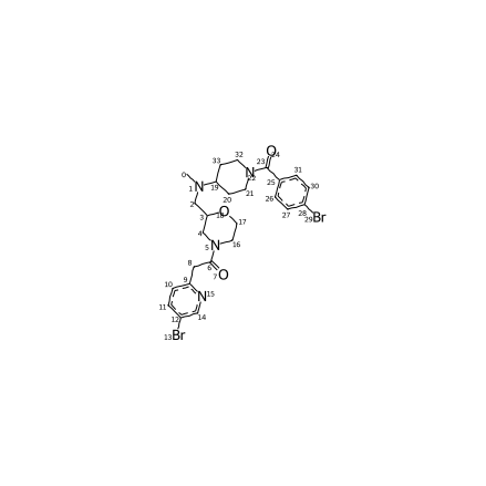 CN(CC1CN(C(=O)Cc2ccc(Br)cn2)CCO1)C1CCN(C(=O)c2ccc(Br)cc2)CC1